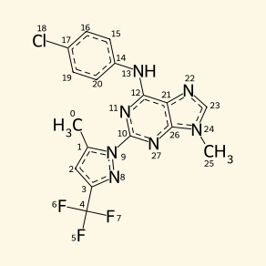 Cc1cc(C(F)(F)F)nn1-c1nc(Nc2ccc(Cl)cc2)c2ncn(C)c2n1